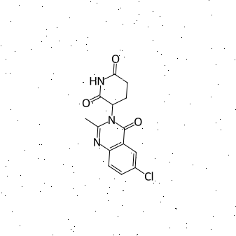 Cc1nc2ccc(Cl)cc2c(=O)n1C1CCC(=O)NC1=O